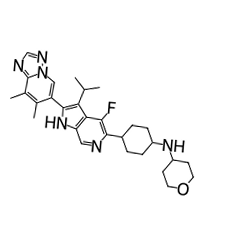 Cc1c(-c2[nH]c3cnc(C4CCC(NC5CCOCC5)CC4)c(F)c3c2C(C)C)cn2ncnc2c1C